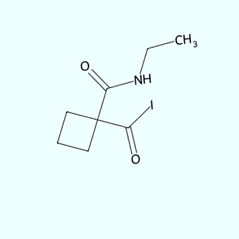 CCNC(=O)C1(C(=O)I)CCC1